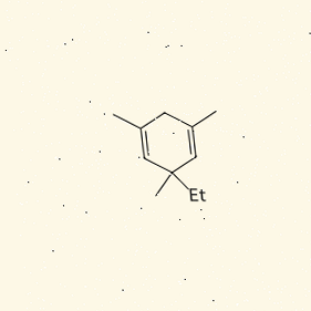 CCC1(C)C=C(C)CC(C)=C1